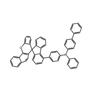 c1ccc(-c2ccc(N(c3ccccc3)c3ccc(-c4cccc5c4-c4ccccc4C54c5ccccc5Oc5c4ccc4ccccc54)cc3)cc2)cc1